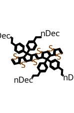 CCCCCCCCCCCCc1ccc(C2(c3ccc(CCCCCCCCCCCC)cc3)c3c(sc4ccsc34)-c3sc4c5c(sc4c32)-c2sc3ccsc3c2C5(c2ccc(CCCCCCCCCCCC)cc2)c2ccc(CCCCCCCCCCCC)cc2)cc1